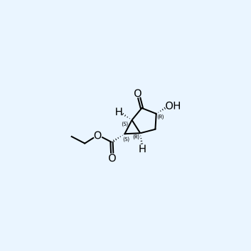 CCOC(=O)[C@H]1[C@@H]2C[C@@H](O)C(=O)[C@@H]21